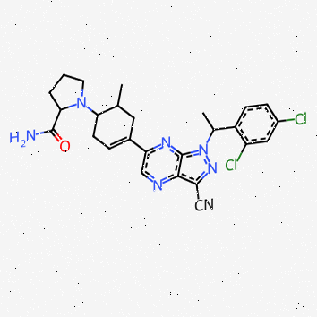 CC1CC(c2cnc3c(C#N)nn(C(C)c4ccc(Cl)cc4Cl)c3n2)=CCC1N1CCCC1C(N)=O